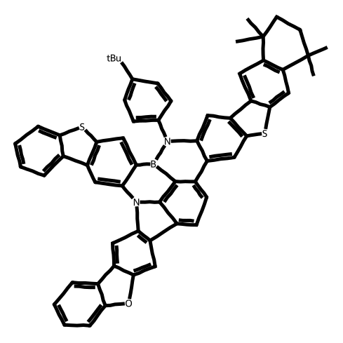 CC(C)(C)c1ccc(N2B3c4cc5sc6ccccc6c5cc4-n4c5cc6c(cc5c5ccc(c3c54)-c3cc4sc5cc7c(cc5c4cc32)C(C)(C)CCC7(C)C)oc2ccccc26)cc1